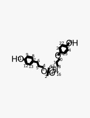 CC(C)(OCCCc1ccc(O)cc1)O[Si](C)(C)CCCOc1ccc(O)cc1